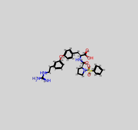 N=C(N)NCCc1cccc(Oc2ccc(C[C@H](NC(=O)[C@@H]3CCCN3S(=O)(=O)c3ccccc3)C(=O)O)cc2)c1